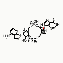 Nc1ccnc2c1ccn2[C@@H]1O[C@@H]2COP(=O)(O)O[C@@H]3[C@H](O)[C@@H](COP(=O)(O)O[C@H]2[C@H]1O)O[C@H]3n1cnc2c(=O)[nH]cnc21